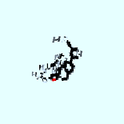 CC#Cc1cncc(-c2ccc3c(c2)C2(N=C(C)C(N)N2)[C@]2(CC3)CC[C@@H](OC)CC2)c1